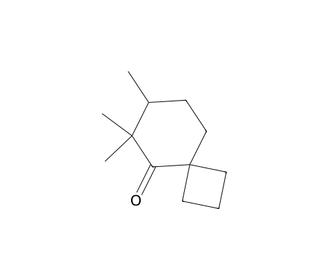 CC1CCC2(CCC2)C(=O)C1(C)C